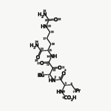 CCC(C)C(NC(=O)C(CC(C)C)NC(=O)O)C(=O)C(=O)NC(CCCNC(N)=O)C(N)=O